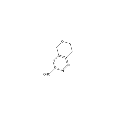 O=Cc1cc2c(nn1)CCOC2